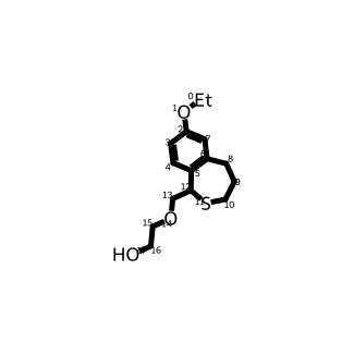 CCOc1ccc2c(c1)CCCSC2COCCO